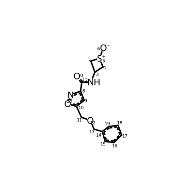 O=C(NC1C[S+]([O-])C1)c1cc(COCc2ccccc2)on1